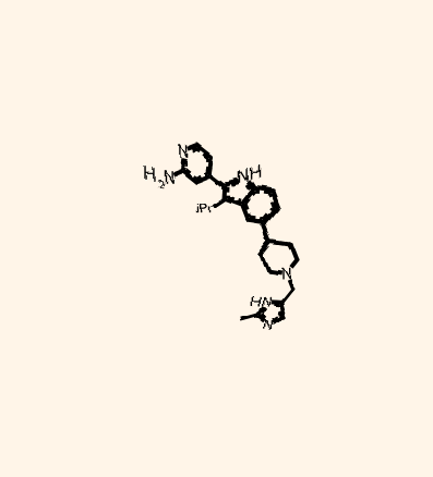 Cc1ncc(CN2CCC(c3ccc4[nH]c(-c5ccnc(N)c5)c(C(C)C)c4c3)CC2)[nH]1